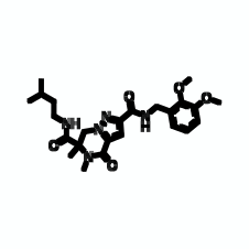 COc1cccc(CNC(=O)c2cc3n(n2)CC(C)(C(=O)NCCC(C)C)N(C)C3=O)c1OC